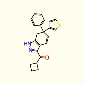 O=C(c1n[nH]c2c1C=CC(c1ccccc1)(c1ccsc1)C2)C1CCC1